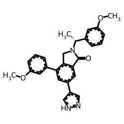 COc1cccc(-c2cc(-c3cn[nH]c3)cc3c2CN([C@H](C)c2cccc(OC)c2)C3=O)c1